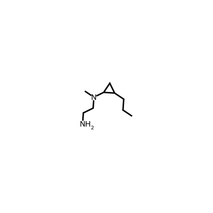 CCCC1CC1N(C)CCN